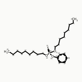 CCCCCCCCCOP(=S)(OCCCCCCCCC)Oc1ccccc1